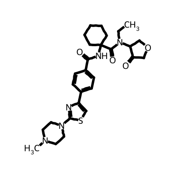 CCN(C(=O)C1(NC(=O)c2ccc(-c3csc(N4CCN(C)CC4)n3)cc2)CCCCC1)C1COCC1=O